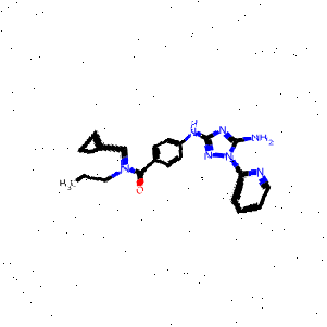 CCCN(CC1CC1)C(=O)c1ccc(Nc2nc(N)n(-c3ccccn3)n2)cc1